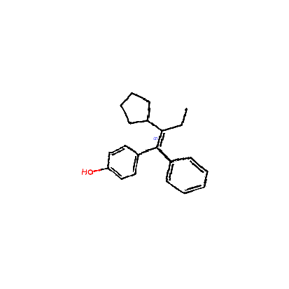 CC/C(=C(\c1ccccc1)c1ccc(O)cc1)C1CCCC1